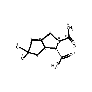 CC(=O)[C@@H]1C2CC(Cl)(Cl)CC2CN1C(C)=O